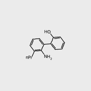 CCCc1cccc(-c2ccccc2O)c1N